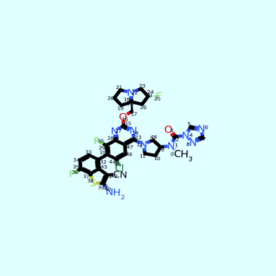 CN(C(=O)n1cncn1)C1CCN(c2nc(OC[C@@]34CCCN3C[C@H](F)C4)nc3c(F)c(-c4ccc(F)c5sc(N)c(C#N)c45)c(Cl)cc23)C1